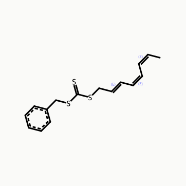 C\C=C/C=C\C=C\CSC(=S)SCc1ccccc1